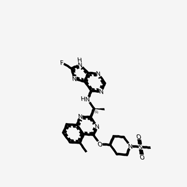 Cc1cccc2nc([C@H](C)Nc3ncnc4[nH]c(F)nc34)nc(OC3CCN(S(C)(=O)=O)CC3)c12